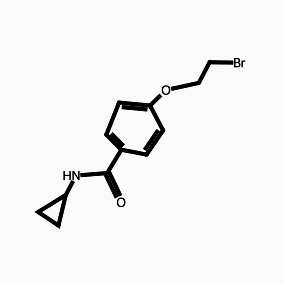 O=C(NC1CC1)c1ccc(OCCBr)cc1